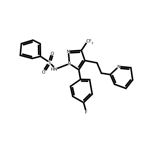 O=S(=O)(Nn1nc(C(F)(F)F)c(CCc2ccccn2)c1-c1ccc(F)cc1)c1ccccc1